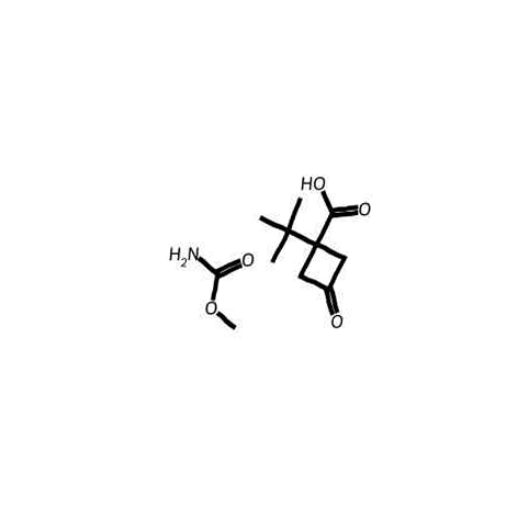 CC(C)(C)C1(C(=O)O)CC(=O)C1.COC(N)=O